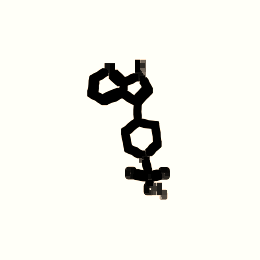 CS(=O)(=O)N1CCC(c2c[nH]c3ncccc23)CC1